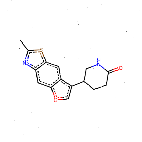 Cc1nc2cc3occ(C4CCC(=O)NC4)c3cc2s1